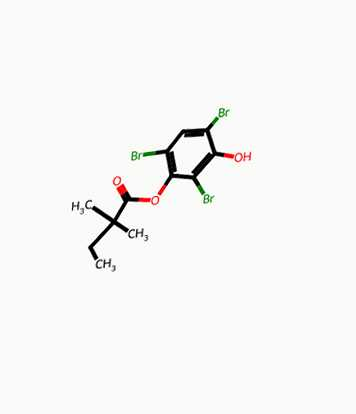 CCC(C)(C)C(=O)Oc1c(Br)cc(Br)c(O)c1Br